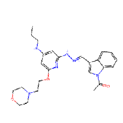 CCCNc1cc(N/N=C/c2cn(C(C)=O)c3ccccc23)nc(OCCN2CCOCC2)c1